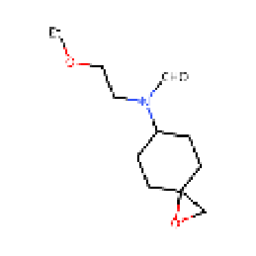 CCOCCN(C=O)C1CCC2(CC1)CO2